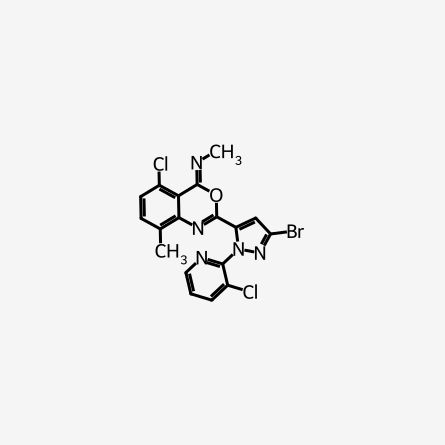 CN=c1oc(-c2cc(Br)nn2-c2ncccc2Cl)nc2c(C)ccc(Cl)c12